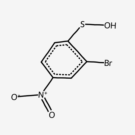 O=[N+]([O-])c1ccc(SO)c(Br)c1